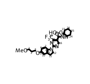 COCCCOc1ccc2c(c1)CCN2c1ncc(C(=O)NC2(C(=O)O)CCCCC2)c(C(F)(F)F)n1